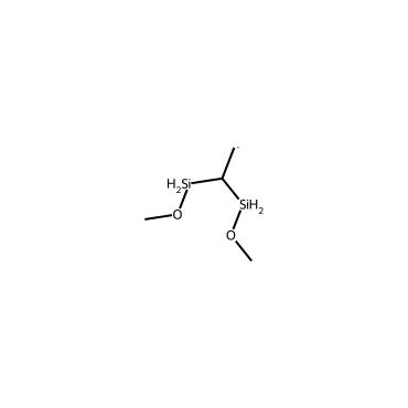 [CH2]C([SiH2]OC)[SiH2]OC